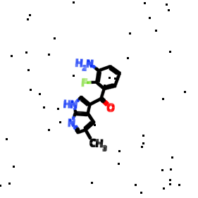 Cc1cnc2[nH]cc(C(=O)c3cccc(N)c3F)c2c1